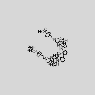 [2H]C([2H])([2H])OCC12CCC(CCN3CCc4c(nc(C(=O)NC5C=CC=C(c6cccc(NC(=O)c7nc8c(n7C([2H])([2H])[2H])CCN(CCC79CCC(C(=O)O)(CC7)C9)C8)c6Cl)C5=C)n4C([2H])([2H])[2H])C3)(CC1)C2